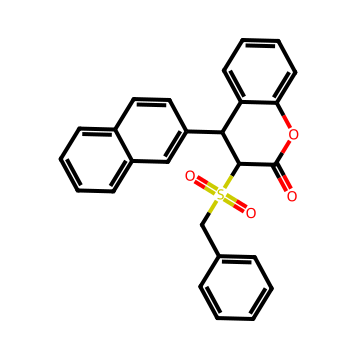 O=C1Oc2ccccc2C(c2ccc3ccccc3c2)C1S(=O)(=O)Cc1ccccc1